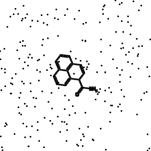 NC(=O)C1C=Cc2cccc3cccc1c23